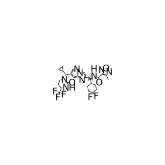 Cc1nonc1C(=O)N[C@H](c1cn2ncc(C(C3CC3)N3CCC(C(F)(F)F)NC3=O)cc2n1)C1CCC(F)(F)CC1